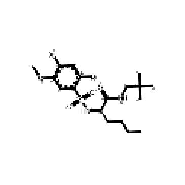 CCCC[C@@H](NS(=O)(=O)c1cc(OC)c(Br)cc1Br)C(=O)NCC(C)(C)C